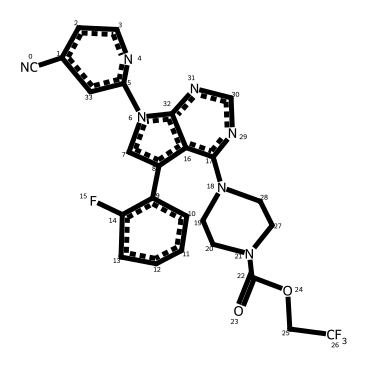 N#Cc1ccnc(-n2cc(-c3ccccc3F)c3c(N4CCN(C(=O)OCC(F)(F)F)CC4)ncnc32)c1